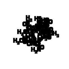 CCc1nc(C)oc1C(=O)/N=c1\sc2cc(C(N)=O)cc(OC)c2n1C/C=C/Cn1c(NC(=O)c2oc(C)nc2CC)nc2cc(C(N)=O)cc(OCCCOC(=O)[C@H](C)NC(=O)[C@H](CCC(=O)O)NC(=O)CN3C(=O)CC(S)C3=O)c21